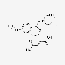 CCN(CC)CC1OCCc2cc(OC)ccc21.O=C(O)C=CC(=O)O